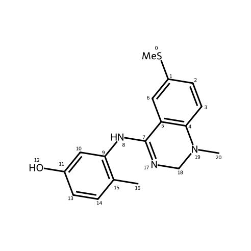 CSc1ccc2c(c1)C(Nc1cc(O)ccc1C)=NCN2C